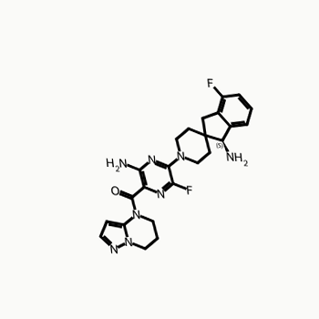 Nc1nc(N2CCC3(CC2)Cc2c(F)cccc2[C@H]3N)c(F)nc1C(=O)N1CCCn2nccc21